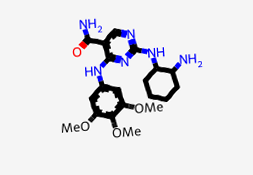 COc1cc(Nc2nc(NC3CCCCC3N)ncc2C(N)=O)cc(OC)c1OC